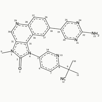 Cn1c(=O)n(-c2ccc(C(C)(C)C#N)nc2)c2c3cc(-c4cnc(N)nc4)ccc3ncc21